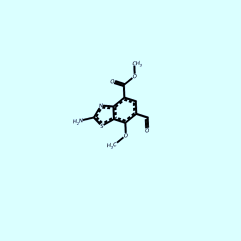 COC(=O)c1cc(C=O)c(OC)c2sc(N)nc12